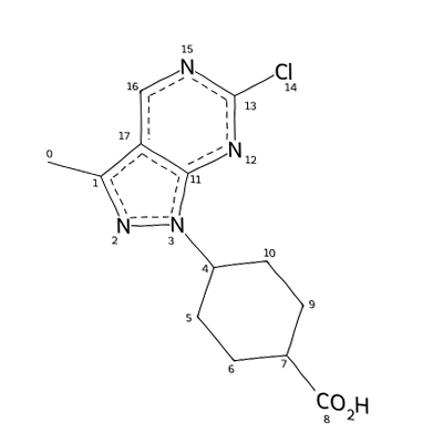 Cc1nn(C2CCC(C(=O)O)CC2)c2nc(Cl)ncc12